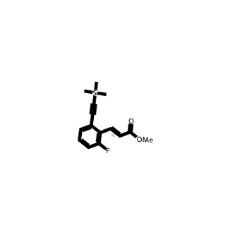 COC(=O)/C=C/c1c(F)cccc1C#C[Si](C)(C)C